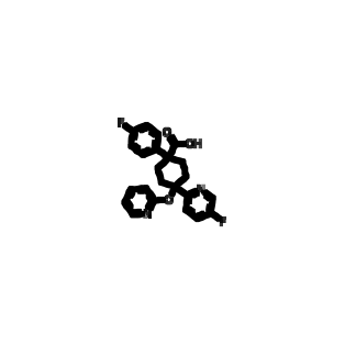 O=C(O)C1(c2ccc(F)cc2)CCC(Oc2ccccn2)(c2ccc(F)cn2)CC1